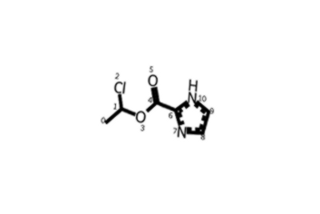 CC(Cl)OC(=O)c1ncc[nH]1